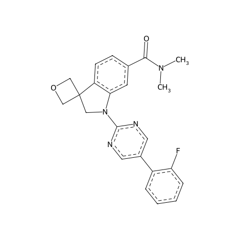 CN(C)C(=O)c1ccc2c(c1)N(c1ncc(-c3ccccc3F)cn1)CC21COC1